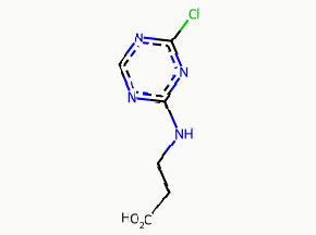 O=C(O)CCNc1ncnc(Cl)n1